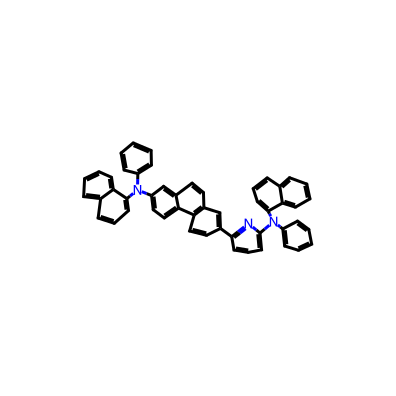 c1ccc(N(c2ccc3c(ccc4cc(-c5cccc(N(c6ccccc6)c6cccc7ccccc67)n5)ccc43)c2)c2cccc3ccccc23)cc1